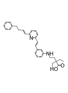 CCC(CC)(CCNc1cccc(C=Cc2cccc(C=CCCc3ccccc3)n2)c1)C(=O)O